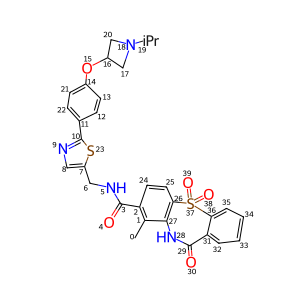 Cc1c(C(=O)NCc2cnc(-c3ccc(OC4CN(C(C)C)C4)cc3)s2)ccc2c1NC(=O)c1ccccc1S2(=O)=O